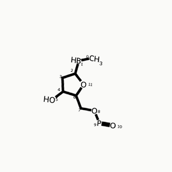 CBC1CC(O)C(COP=O)O1